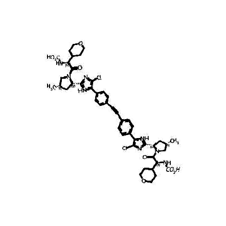 C[C@H]1C[C@@H](c2nc(Cl)c(-c3ccc(C#Cc4ccc(-c5[nH]c([C@@H]6C[C@H](C)CN6C(=O)[C@@H](NC(=O)O)C6CCOCC6)nc5Cl)cc4)cc3)[nH]2)N(C(=O)[C@@H](NC(=O)O)C2CCOCC2)C1